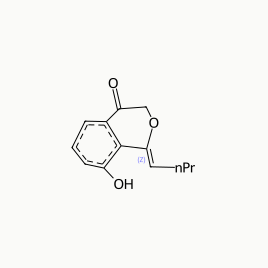 CCC/C=C1\OCC(=O)c2cccc(O)c21